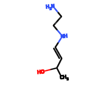 CC(O)C=CNCCN